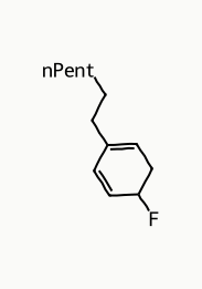 CCCCCCCC1=CCC(F)C=C1